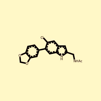 CC(=O)NCc1cc2cc(Cl)c(-c3ccc4c(c3)OCO4)cc2[nH]1